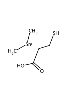 O=C(O)CCS.[CH3][Sn][CH3]